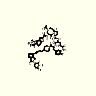 CC(=O)N1CC[C@H]2CC[C@@H](C(=O)NC(CCC(N)=O)C(=O)NC(Cc3ccc(F)cc3)C(=O)N3CCC(CCC#Cc4cccc5c4CN(C4CCC(=O)NC4=O)C5=O)CC3)N2C(=O)[C@@H](NC(=O)c2cc3cc(C(F)(F)P(=O)(O)O)ccc3s2)C1